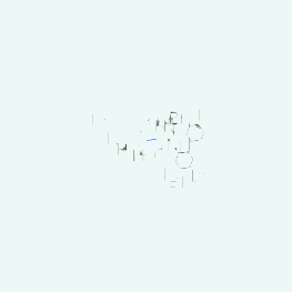 C=C(Nc1ccc(Br)c(C(F)(F)F)c1)/C(C(=O)N(C)Cc1cccc(F)c1Br)=C(\C)C(C)(C)CCCC